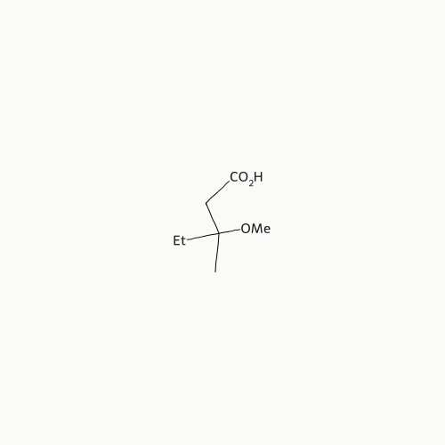 CCC(C)(CC(=O)O)OC